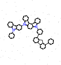 c1ccc(-c2cccc3c2Cc2c(-c4cccc(-n5c6ccccc6c6c7c8ccccc8n(-c8ccc9c(c8)c8ccccc8n9-c8ccccc8)c7ccc65)c4)cccc2-3)cc1